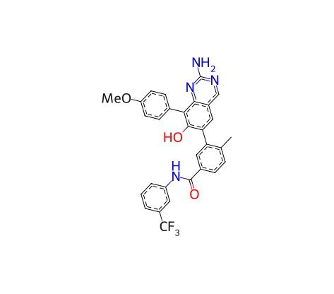 COc1ccc(-c2c(O)c(-c3cc(C(=O)Nc4cccc(C(F)(F)F)c4)ccc3C)cc3cnc(N)nc23)cc1